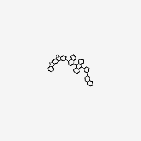 c1cc(-c2ccc3ccccc3c2)cc(-c2c3ccccc3c(-c3ccc(-c4ccc5oc6cc7sc8ccccc8c7cc6c5c4)c4ccccc34)c3ccccc23)c1